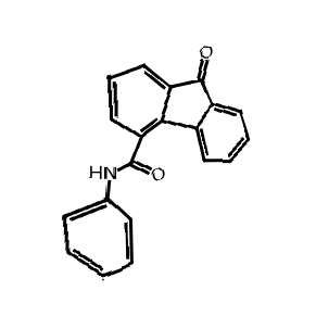 O=C(Nc1cc[c]cc1)c1cccc2c1-c1ccccc1C2=O